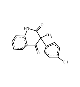 CC1(c2ccc(O)cc2)C(=O)Nc2ccccc2C1=O